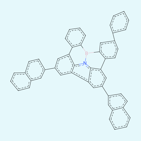 c1ccc(-c2ccc3c(c2)B2c4ccccc4-c4cc(-c5ccc6ccccc6c5)cc5c6cc(-c7ccc8ccccc8c7)cc-3c6n2c45)cc1